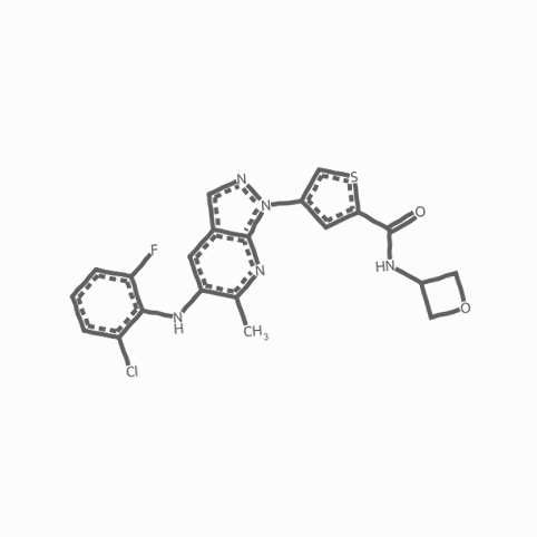 Cc1nc2c(cnn2-c2csc(C(=O)NC3COC3)c2)cc1Nc1c(F)cccc1Cl